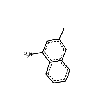 Cc1cc(N)c2ccccc2c1